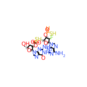 Nc1nc2c(ncn2[C@@H]2O[C@H](CO)C[C@@H]2O[P@](=O)(S)OC[C@H]2O[C@@H](n3cnc4c(N)ncnc43)C(F)[C@@H]2O[PH](=O)S)c(=O)[nH]1